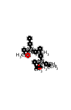 CC1c2ccccc2C2(c3nc(-c4ccc(C(C)(C)C)cc4)nc(-c4ccc(C(C)(C)c5ccccc5-c5cccc(-c6nc(-c7ccc(-c8ccccc8)cc7)nc(C78c9ccccc9C(C)(c9ccccc97)c7ccccc78)n6)c5)cc4)n3)c3ccccc3C1c1ccccc12